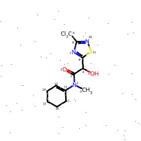 CN(C(=O)C(O)c1nc(C(Cl)(Cl)Cl)ns1)C1=CCCCC1